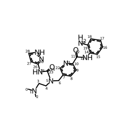 CN(C)CCN(Cc1ccc(C(=O)Nc2ccccc2N)nc1)C(=O)Nc1cc[nH]n1